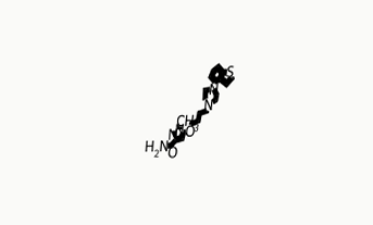 Cn1nc(C(N)=O)cc1OCCCCN1CCN(c2cccc3sccc23)CC1